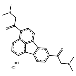 CN(C)CC(=O)c1ccc2c(c1)-c1ccc(C(=O)CN(C)C)c3cccc-2c13.Cl.Cl